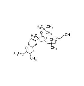 COC(=O)C(C)Cc1cccc(C(C)(CCCC(C)(C)CSCCO)C(=O)OC(C)(C)C)c1